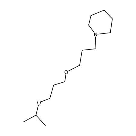 CC(C)OCCCOCCCN1CCCCC1